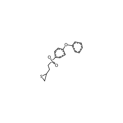 O=S(=O)(CCC1CS1)c1ccc(Oc2ccccc2)cc1